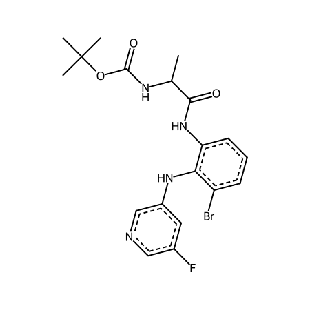 CC(NC(=O)OC(C)(C)C)C(=O)Nc1cccc(Br)c1Nc1cncc(F)c1